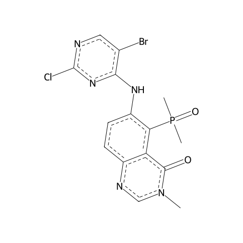 Cn1cnc2ccc(Nc3nc(Cl)ncc3Br)c(P(C)(C)=O)c2c1=O